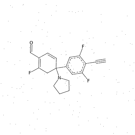 C#Cc1c(F)cc(C2(N3CCCC3)C=CC(C=O)=C(F)C2)cc1F